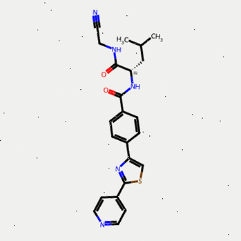 CC(C)C[C@H](NC(=O)c1ccc(-c2csc(-c3ccncc3)n2)cc1)C(=O)NCC#N